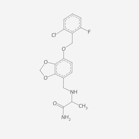 CC(NCc1ccc(OCc2c(F)cccc2Cl)c2c1OCO2)C(N)=O